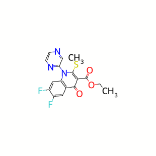 CCOC(=O)c1c(SC)n(-c2cnccn2)c2cc(F)c(F)cc2c1=O